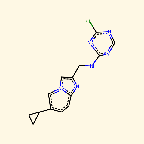 Clc1ncnc(NCc2cn3cc(C4CC4)ccc3n2)n1